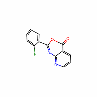 O=c1oc(-c2ccccc2F)nc2ncccc12